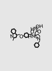 Cc1cc(COc2ccc(C(=O)NC3(CC(=O)NO)CCN(Cc4ccccc4)C3)cc2)c2ccccc2n1